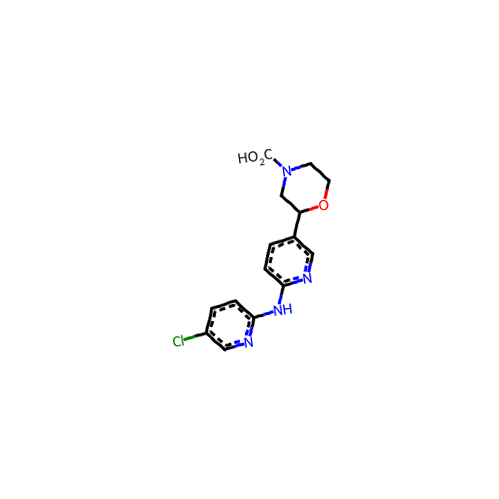 O=C(O)N1CCOC(c2ccc(Nc3ccc(Cl)cn3)nc2)C1